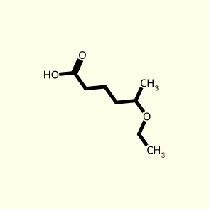 CCOC(C)CCCC(=O)O